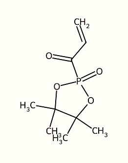 C=CC(=O)P1(=O)OC(C)(C)C(C)(C)O1